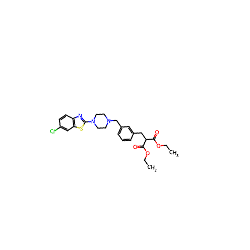 CCOC(=O)C(Cc1cccc(CN2CCN(c3nc4ccc(Cl)cc4s3)CC2)c1)C(=O)OCC